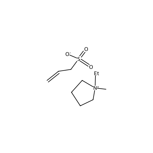 C=CCS(=O)(=O)[O-].CC[N+]1(C)CCCC1